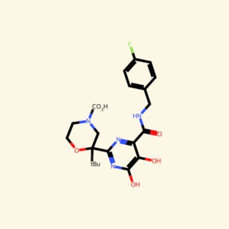 CC(C)(C)C1(c2nc(O)c(O)c(C(=O)NCc3ccc(F)cc3)n2)CN(C(=O)O)CCO1